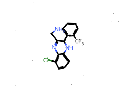 NCC1=Nc2c(Cl)cccc2NC1c1ccccc1C(F)(F)F